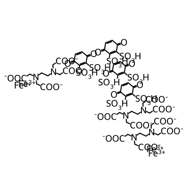 O=C([O-])CN(CCN(CC(=O)[O-])CC(=O)[O-])CC(=O)[O-].O=C([O-])CN(CCN(CC(=O)[O-])CC(=O)[O-])CC(=O)[O-].O=C([O-])CN(CCN(CC(=O)[O-])CC(=O)[O-])CC(=O)[O-].O=C1C=CC(=O)C(S(=O)(=O)O)=C1S(=O)(=O)O.O=C1C=CC(=O)C(S(=O)(=O)O)=C1S(=O)(=O)O.O=C1C=CC(=O)C(S(=O)(=O)O)=C1S(=O)(=O)O.O=C1C=CC(=O)C(S(=O)(=O)O)=C1S(=O)(=O)O.[Fe+3].[Fe+3].[Fe+3].[Fe+3]